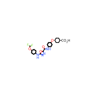 O=C(Nc1ccc(O[C@H]2CC[C@H](C(=O)O)CC2)cc1)c1nnc(Nc2ccc(OC(F)F)cc2)o1